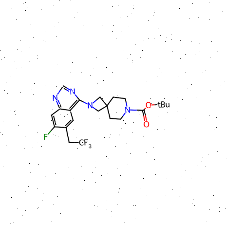 CC(C)(C)OC(=O)N1CCC2(CC1)CN(c1ncnc3cc(F)c(CC(F)(F)F)cc13)C2